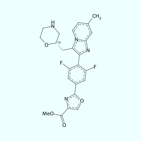 COC(=O)c1coc(-c2cc(F)c(-c3nc4cc(C)ccn4c3C[C@H]3CNCCO3)c(F)c2)n1